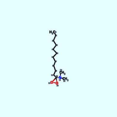 CCCCCCCCCCCC1(N(C)C)OO1